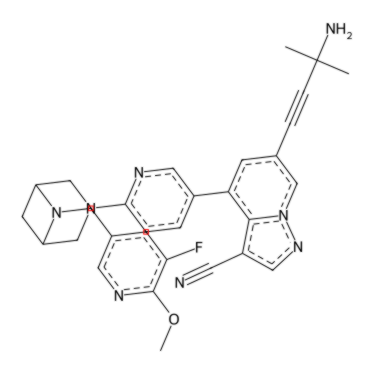 COc1ncc(CN2C3CC2CN(c2ccc(-c4cc(C#CC(C)(C)N)cn5ncc(C#N)c45)cn2)C3)cc1F